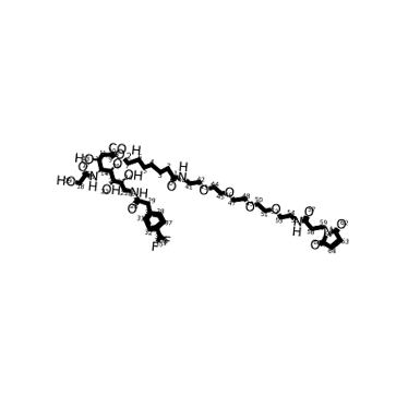 O=C(CCCCCCO[C@]1(C(=O)O)C[C@H](O)[C@@H](NC(=O)CO)[C@H]([C@H](O)[C@H](O)CNC(=O)Cc2ccc(C(F)F)cc2)O1)NCCOCCOCCOCCOCCNC(=O)CCN1C(=O)C=CC1=O